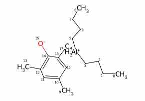 CCC[CH2][Al+][CH2]CCC.Cc1cc(C)c([O-])c(C)c1